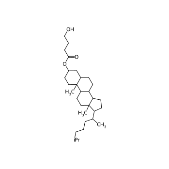 CC(C)CCCC(C)C1CCC2C3CCC4CC(OC(=O)CCCO)CCC4(C)C3CCC12C